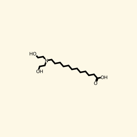 O=C(O)CCCCCCCCCCCN(CCO)CCO